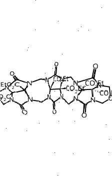 CCOC(=O)C12N3COCN1C(=O)N1CN4C(=O)N5CN6C(=O)N7COCN8C(=O)N(CN9C(=O)N(CN(C3=O)C12C(=O)OCC)[C@]4(C(=O)OCC)[C@@]59C(=O)OCC)[C@@]6(C(=O)OCC)[C@@]87C(=O)OCC